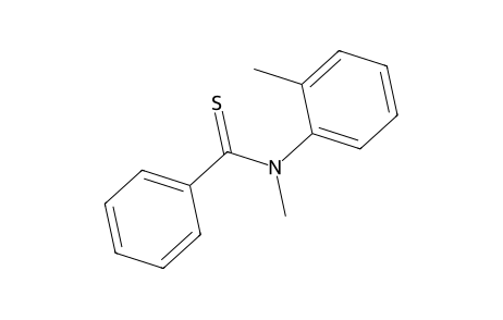 Cc1ccccc1N(C)C(=S)c1ccccc1